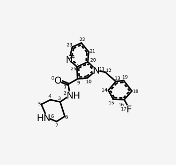 O=C(NC1CCNCC1)c1cn(Cc2ccc(F)cc2)c2cccnc12